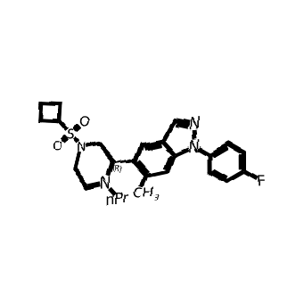 CCCN1CCN(S(=O)(=O)C2CCC2)C[C@H]1c1cc2cnn(-c3ccc(F)cc3)c2cc1C